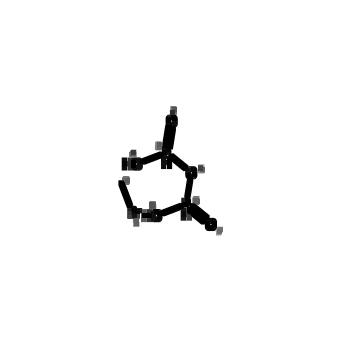 CBr.O=[PH](O)O[PH](=O)O